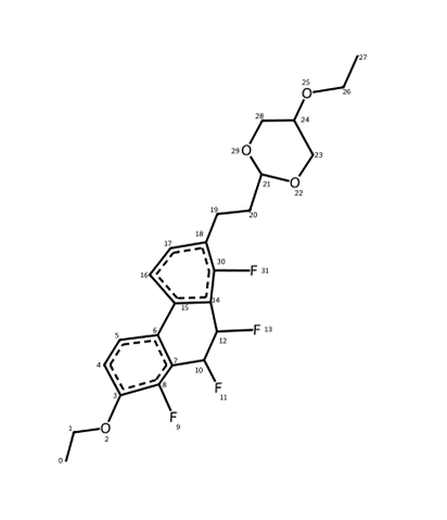 CCOc1ccc2c(c1F)C(F)C(F)c1c-2ccc(CCC2OCC(OCC)CO2)c1F